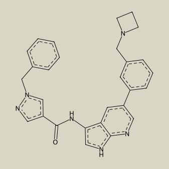 O=C(Nc1c[nH]c2ncc(-c3cccc(CN4CCC4)c3)cc12)c1cnn(Cc2ccccc2)c1